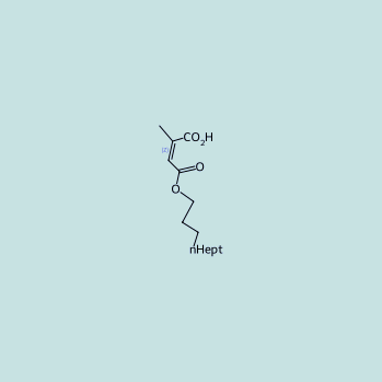 CCCCCCCCCCOC(=O)/C=C(/C)C(=O)O